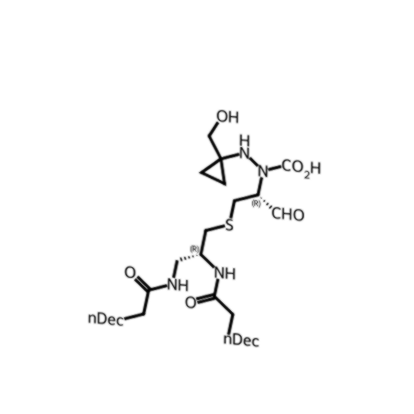 CCCCCCCCCCCC(=O)NC[C@H](CSC[C@@H](C=O)N(NC1(CO)CC1)C(=O)O)NC(=O)CCCCCCCCCCC